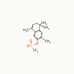 CC1=CCC(C)(C)c2cc(C)c(OS(=O)(=O)C(F)(F)F)cc21